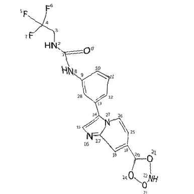 O=C(NCC(F)(F)F)Nc1cccc(-c2cnc3cc(C4ONOO4)ccn23)c1